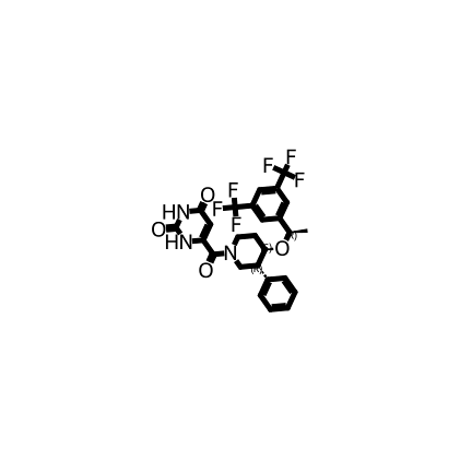 C[C@@H](O[C@H]1CCN(C(=O)c2cc(=O)[nH]c(=O)[nH]2)C[C@H]1c1ccccc1)c1cc(C(F)(F)F)cc(C(F)(F)F)c1